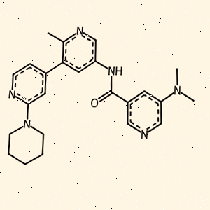 Cc1ncc(NC(=O)c2cncc(N(C)C)c2)cc1-c1ccnc(N2CCCCC2)c1